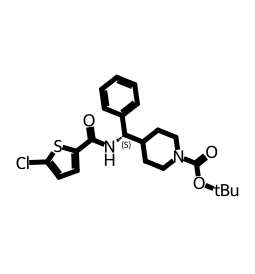 CC(C)(C)OC(=O)N1CCC([C@H](NC(=O)c2ccc(Cl)s2)c2ccccc2)CC1